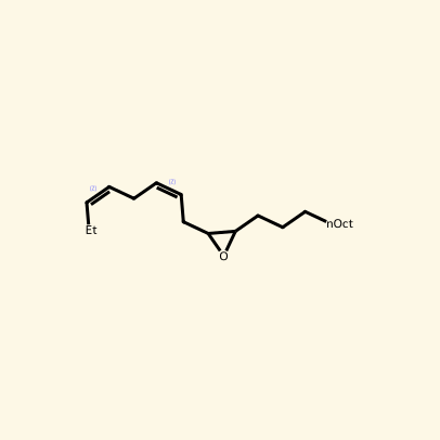 CC/C=C\C/C=C\CC1OC1CCCCCCCCCCC